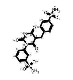 NS(=O)(=O)c1ccc(CC2C(=O)NC(=O)N(c3cccc(S(N)(=O)=O)c3)C2=O)cc1